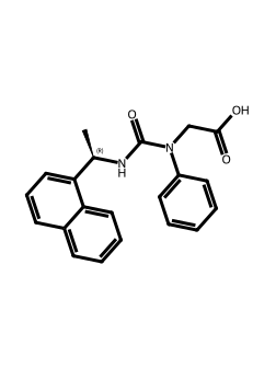 C[C@@H](NC(=O)N(CC(=O)O)c1ccccc1)c1cccc2ccccc12